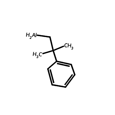 CC(C)([CH2][AlH2])c1ccccc1